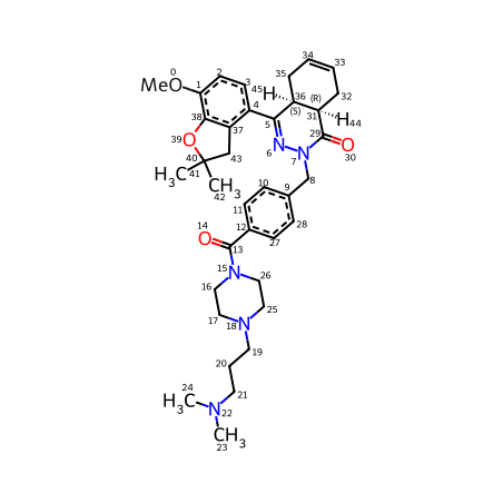 COc1ccc(C2=NN(Cc3ccc(C(=O)N4CCN(CCCN(C)C)CC4)cc3)C(=O)[C@@H]3CC=CC[C@H]23)c2c1OC(C)(C)C2